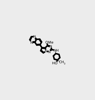 COc1nc(N[C@H]2CC[C@](C)(O)CC2)nn2ccc(-c3ccc4nccnc4c3)c12